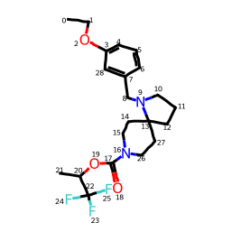 CCOc1cccc(CN2CCCC23CCN(C(=O)OC(C)C(F)(F)F)CC3)c1